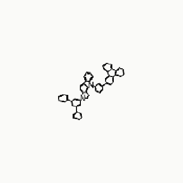 c1ccc(-c2cc(-c3ccccc3)cc(-n3ccc4c3ccc3c5ccccc5n(-c5cccc(-c6ccc7c8ccccc8c8ccccc8c7c6)c5)c34)c2)cc1